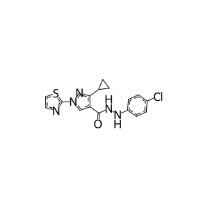 O=C(NNc1ccc(Cl)cc1)c1cn(-c2nccs2)nc1C1CC1